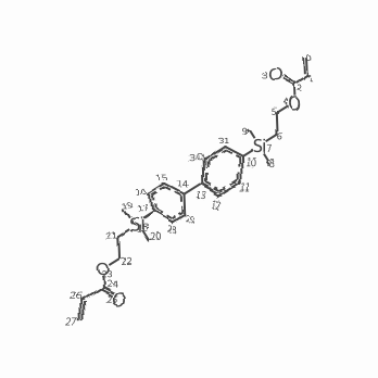 C=CC(=O)OCC[Si](C)(C)c1ccc(-c2ccc([Si](C)(C)CCOC(=O)C=C)cc2)cc1